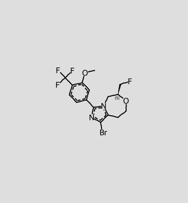 COc1cc(-c2nc(Br)c3n2C[C@@H](CF)OCC3)ccc1C(F)(F)F